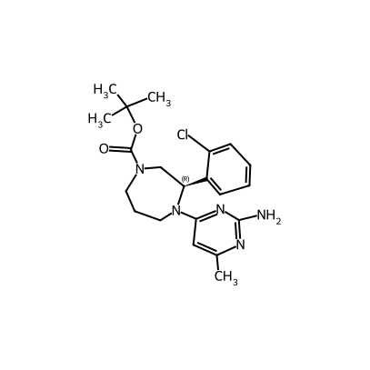 Cc1cc(N2CCCN(C(=O)OC(C)(C)C)C[C@H]2c2ccccc2Cl)nc(N)n1